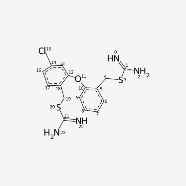 N=C(N)SCc1ccccc1Oc1cc(Cl)ccc1CSC(=N)N